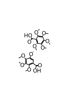 COc1c(OC)c(OC)c(C(=O)O)c(OC)c1OC.COc1cc(C(=O)O)c(OC)c(OC)c1OC